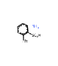 CCCc1ccccc1S(=O)(=O)O.N